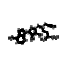 C#CC[S@+](CC[C@H](N)C(=O)O)C[C@H]1O[C@@H](n2cnc3c(N)ncnc32)[C@H](O)[C@@H]1O